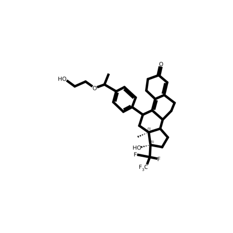 CC(OCCO)c1ccc(C2C[C@@]3(C)C(CC[C@@]3(O)C(F)(F)C(F)(F)F)C3CCC4=CC(=O)CCC4=C23)cc1